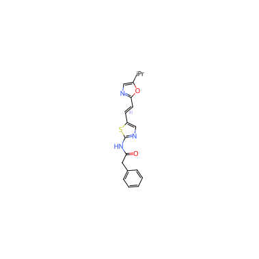 CC(C)c1cnc(/C=C/c2cnc(NC(=O)Cc3ccccc3)s2)o1